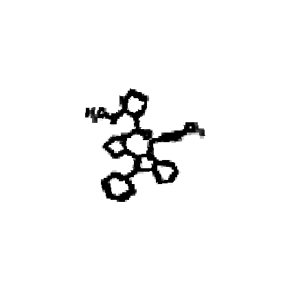 CC#CCn1c(C2CCCN2C(=O)c2cccnc2SC)c(-c2ccccc2)c2ccccc21